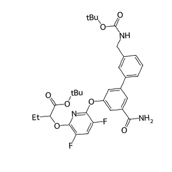 CCC(Oc1nc(Oc2cc(C(N)=O)cc(-c3cccc(CNC(=O)OC(C)(C)C)c3)c2)c(F)cc1F)C(=O)OC(C)(C)C